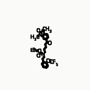 Cn1c(=O)n(C)c2cc(C(=O)CCCCN(CCc3ccccc3OC(F)(F)F)C(=O)OC(C)(C)C)ccc21